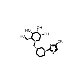 OC[C@H]1[C@@H](O)[C@H](O)[C@@H](O)CN1C[C@H]1CCCN(c2nc(C(F)(F)F)cs2)C1